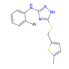 Cc1ccc(CSc2nc(Nc3ccccc3C(C)C)n[nH]2)s1